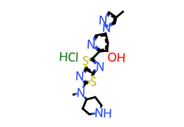 Cc1cnn(-c2cnc(-c3nc4sc(N(C)C5CCNCC5)nc4s3)c(O)c2)c1.Cl